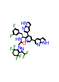 O=C(Cn1nc(C(F)F)c2c1C(F)(F)CCC2(F)F)N[C@@H](Cc1cc(F)cc(F)c1)c1ncc(-c2cnc3[nH]ccc3c2)cc1-c1cnc2[nH]ccc2c1